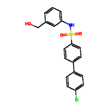 O=S(=O)(Nc1cccc(CO)c1)c1ccc(-c2ccc(Cl)cc2)cc1